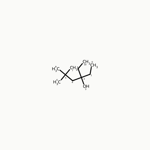 CCC(O)([CH]C(C)(C)C)CC